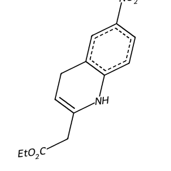 CCOC(=O)CC1=CCc2cc([N+](=O)[O-])ccc2N1